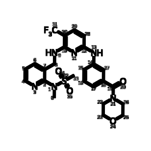 CN(c1ncccc1CNc1nc(Nc2cccc(C(=O)N3CCOCC3)c2)ccc1C(F)(F)F)S(C)(=O)=O